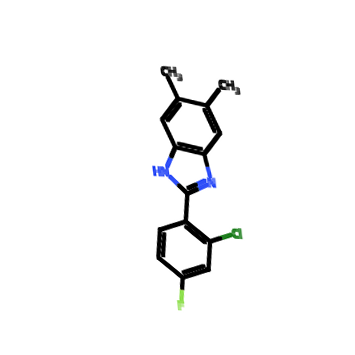 Cc1cc2nc(-c3ccc(F)cc3Cl)[nH]c2cc1C